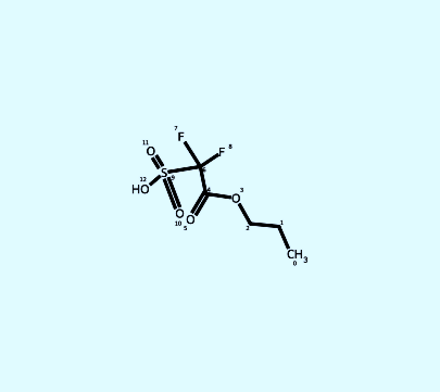 CCCOC(=O)C(F)(F)S(=O)(=O)O